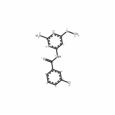 CSc1cc(NC(=O)c2cccc(Cl)c2)nc(N)n1